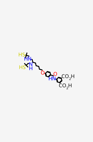 CC(C)(S)CNCC(CCCCCOc1ccc(C(=O)Nc2cc(C(=O)O)cc(C(=O)O)c2)cc1)NCC(C)(C)S